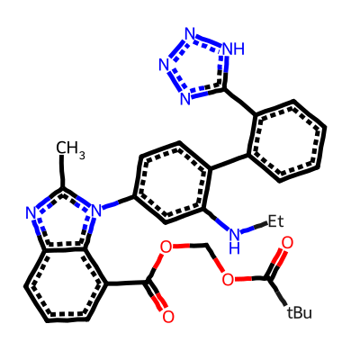 CCNc1cc(-n2c(C)nc3cccc(C(=O)OCOC(=O)C(C)(C)C)c32)ccc1-c1ccccc1-c1nnn[nH]1